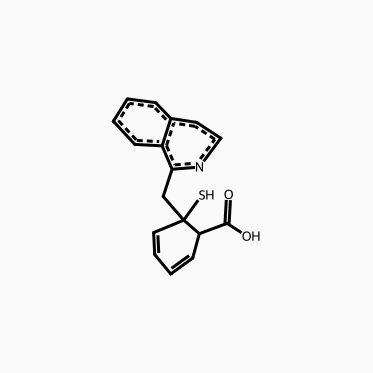 O=C(O)C1C=CC=CC1(S)Cc1nccc2ccccc12